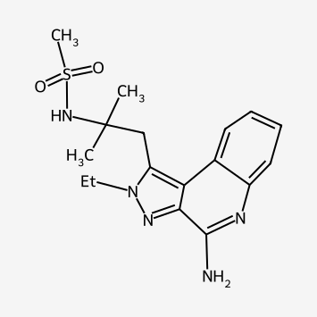 CCn1nc2c(N)nc3ccccc3c2c1CC(C)(C)NS(C)(=O)=O